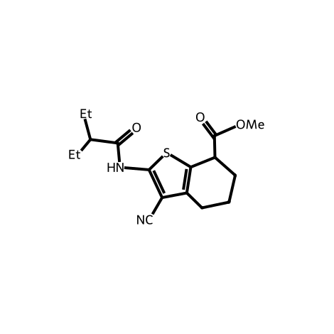 CCC(CC)C(=O)Nc1sc2c(c1C#N)CCCC2C(=O)OC